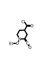 CCON1CCC(C(=O)Cl)CC1=C=O